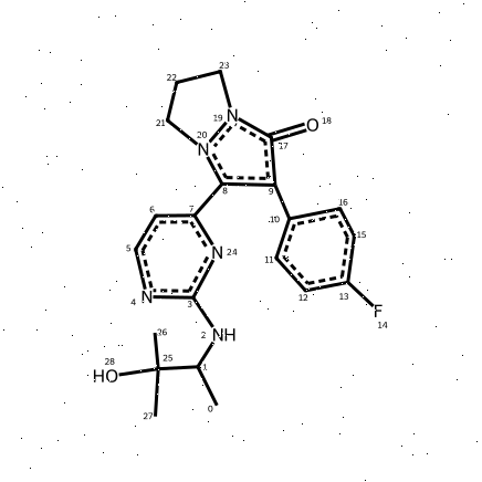 CC(Nc1nccc(-c2c(-c3ccc(F)cc3)c(=O)n3n2CCC3)n1)C(C)(C)O